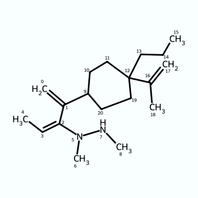 C=C(/C(=C\C)N(C)NC)C1CCC(CCC)(C(=C)C)CC1